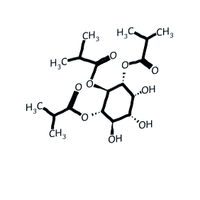 CC(C)C(=O)O[C@H]1[C@H](OC(=O)C(C)C)[C@H](O)[C@H](O)[C@@H](O)[C@@H]1OC(=O)C(C)C